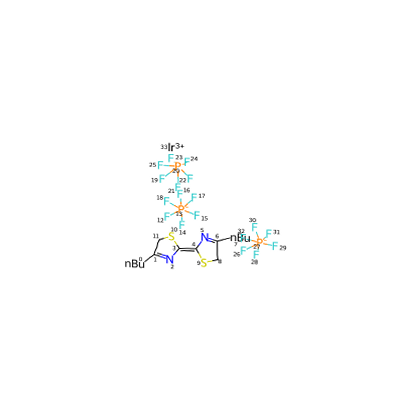 CCCCC1=NC(=C2N=C(CCCC)CS2)SC1.F[P-](F)(F)(F)(F)F.F[P-](F)(F)(F)(F)F.F[P-](F)(F)(F)(F)F.[Ir+3]